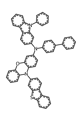 c1ccc(-c2ccc(N(c3ccc4c(c3)Oc3ccccc3N4c3ccc4c(c3)sc3ccccc34)c3ccc4c5ccccc5n(-c5ccccc5)c4c3)cc2)cc1